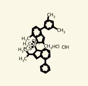 CC1=Cc2c(-c3cc(C)cc(C)c3)ccc(C)c2[CH]1[Zr]([CH3])([CH3])(=[SiH2])[CH]1C(C(C)C)=Cc2c(-c3ccccc3)cccc21.Cl.Cl